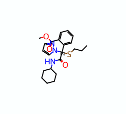 CCCS[C@](C(=O)NC1CCCCC1)(c1ccccc1C(=O)OC)n1cccn1